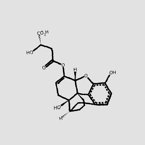 O=C(C[C@H](O)C(=O)O)OC1=CC[C@@]2(O)[C@@H]3CCC[C@@]24c2c(ccc(O)c2O[C@@H]14)C3